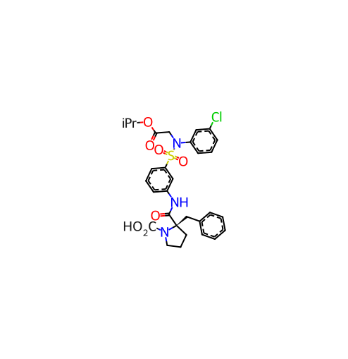 CC(C)OC(=O)CN(c1cccc(Cl)c1)S(=O)(=O)c1cccc(NC(=O)[C@]2(Cc3ccccc3)CCCN2C(=O)O)c1